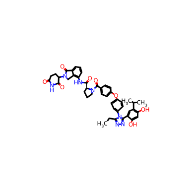 CCc1nnc(-c2cc(C(C)C)c(O)cc2O)n1-c1ccc(Oc2ccc(C(=O)N3CCC[C@H]3C(=O)Nc3cccc4c3CN(C3CCC(=O)NC3=O)C4=O)cc2)cc1